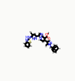 COC(=O)c1c(-c2cnn(CC34CC5CC(CC(C5)C3)C4)c2C)ccn2c(-c3cc(C)c(Nc4nc5ccccc5s4)nn3)cnc12